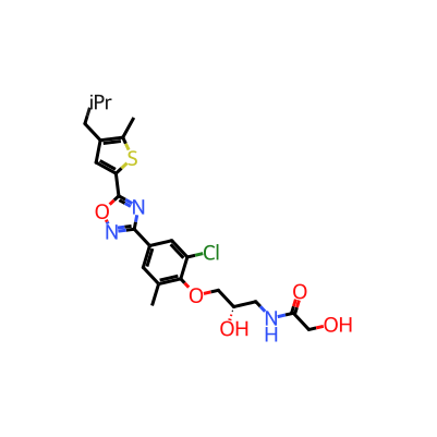 Cc1cc(-c2noc(-c3cc(CC(C)C)c(C)s3)n2)cc(Cl)c1OC[C@@H](O)CNC(=O)CO